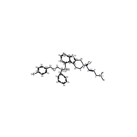 CN(C)C/C=C/C(=O)N1CCc2c(sc3ncnc(N[C@H](COCc4ccc(F)cc4)c4ccccc4)c23)C1